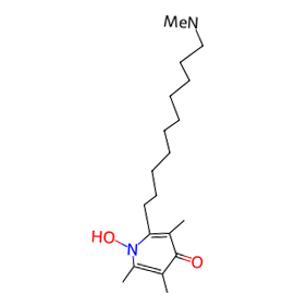 CNCCCCCCCCCCc1c(C)c(=O)c(C)c(C)n1O